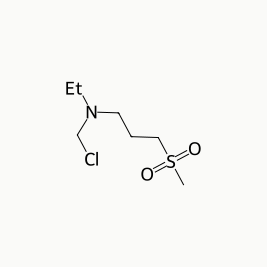 CCN(CCl)CCCS(C)(=O)=O